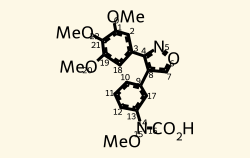 COc1cc(-c2nocc2-c2cccc(N(OC)C(=O)O)c2)cc(OC)c1OC